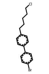 ClCCCCCc1ccc(-c2ccc(Br)cc2)cc1